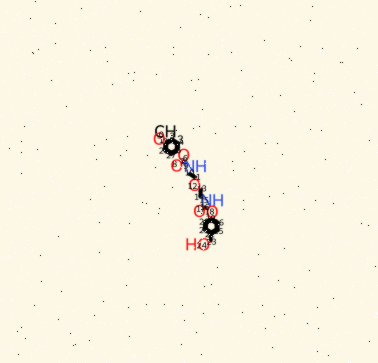 COc1ccc(OC(=O)NCCOCCNC(=O)Oc2ccc(CO)cc2)cc1